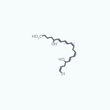 CC/C=C\CC(O)/C=C/C=C\C\C=C/C=C/C=C/C(O)CCCC(=O)O